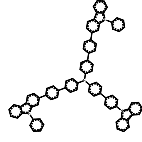 c1ccc(-n2c3ccccc3c3ccc(-c4ccc(-c5ccc(N(c6ccc(-c7ccc(-c8ccc9c%10ccccc%10n(-c%10ccccc%10)c9c8)cc7)cc6)c6ccc(-c7ccc(-n8c9ccccc9c9ccccc98)cc7)cc6)cc5)cc4)cc32)cc1